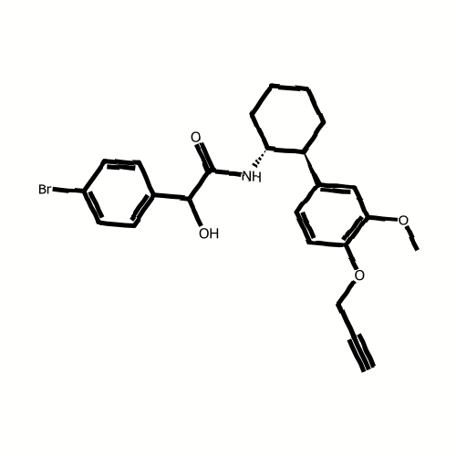 C#CCOc1ccc([C@@H]2CCCC[C@H]2NC(=O)C(O)c2ccc(Br)cc2)cc1OC